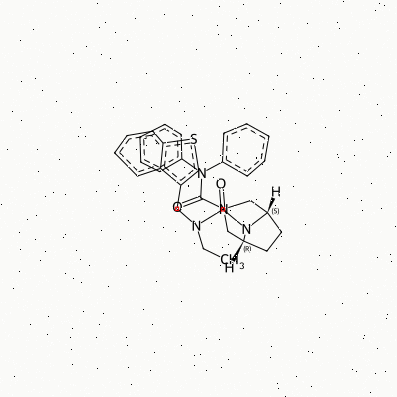 CCN(Cc1csc2ccccc12)C(=O)N1[C@@H]2CC[C@H]1CN(C(=O)N(c1ccccc1)c1ccccc1)C2